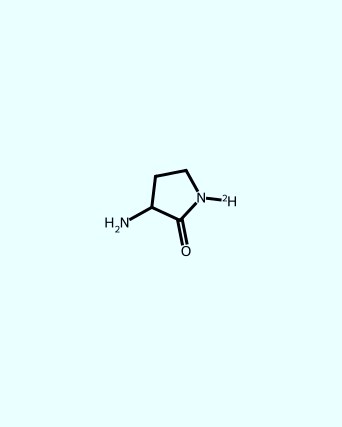 [2H]N1CCC(N)C1=O